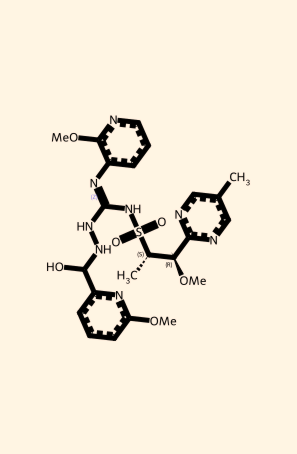 COc1cccc(C(O)NN/C(=N/c2cccnc2OC)NS(=O)(=O)[C@@H](C)[C@H](OC)c2ncc(C)cn2)n1